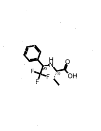 CC[C@H](N[C@H](c1ccccc1)C(F)(F)F)C(=O)O